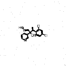 CC(c1ccc(Cl)cc1Cl)C(O)(C=NO)c1cccnc1